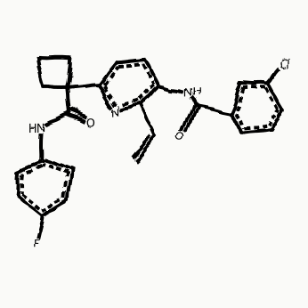 C=Cc1nc(C2(C(=O)Nc3ccc(F)cc3)CCC2)ccc1NC(=O)c1cccc(Cl)c1